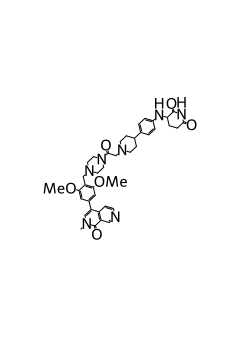 COc1cc(-c2cn(C)c(=O)c3cnccc23)cc(OC)c1CN1CCN(C(=O)CN2CCC(c3ccc(NC4CCC(=O)NC4=O)cc3)CC2)CC1